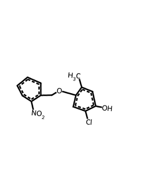 Cc1cc(O)c(Cl)cc1OCc1ccccc1[N+](=O)[O-]